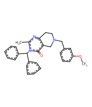 Cc1nc2c(c(=O)n1C(c1ccccc1)c1ccccc1)CN(Cc1cccc(OC(F)(F)F)c1)CC2